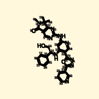 CN1C(=O)c2cnc(Nc3cc(N[C@H](CO)c4ccccc4)c(-c4nnc(-c5cccnc5)o4)cn3)nc2C1(C)C